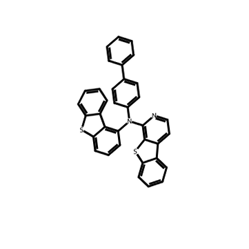 c1ccc(-c2ccc(N(c3nccc4c3sc3ccccc34)c3cccc4sc5ccccc5c34)cc2)cc1